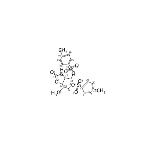 Cc1ccc(S(=O)(=O)OCC(C)C2OC(=O)NC2COS(=O)(=O)c2ccc(C)cc2)cc1